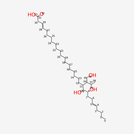 CCCCC=CCCCC(O)C(CCCCCCCCCCCCCCCCC=CCC(=O)O)C(CO)C(C)O